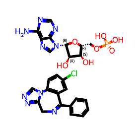 Clc1ccc2c(c1)C(c1ccccc1)=NCc1nncn1-2.Nc1ncnc2c1ncn2[C@@H]1O[C@H](COP(=O)(O)O)[C@@H](O)[C@H]1O